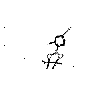 [CH2]c1cc(F)ccc1B1OC(C)(C)C(C)(C)O1